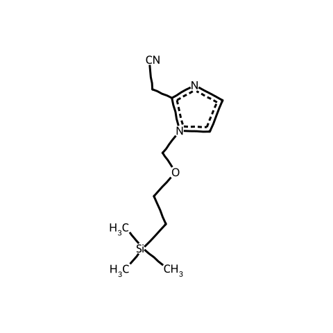 C[Si](C)(C)CCOCn1ccnc1CC#N